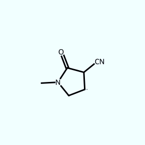 CN1C[CH]C(C#N)C1=O